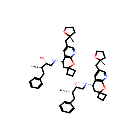 CC(=O)N[C@@H](Cc1ccccc1)[C@H](O)CN[C@H]1CC2(CCC2)Oc2ncc(C[C@@]3(C)CCCO3)cc21.CC(=O)N[C@@H](Cc1ccccc1)[C@H](O)CN[C@H]1CC2(CCC2)Oc2ncc(C[C@]3(C)CCCO3)cc21